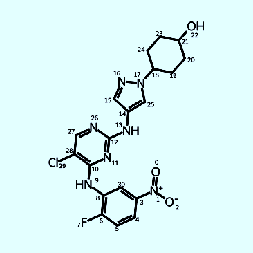 O=[N+]([O-])c1ccc(F)c(Nc2nc(Nc3cnn(C4CCC(O)CC4)c3)ncc2Cl)c1